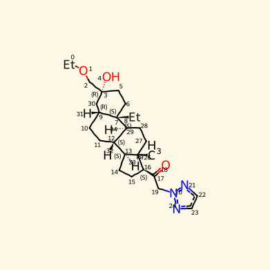 CCOC[C@@]1(O)CC[C@@]2(CC)[C@H](CC[C@H]3[C@@H]4CC[C@H](C(=O)Cn5nccn5)[C@@]4(C)CC[C@@H]32)C1